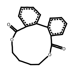 O=C1OCCCCOC(=O)c2ccccc2-c2ccccc21